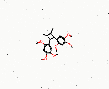 COc1cc(OC)c(C2C(C)C(C)C2c2cc(OC)c(OC)cc2OC)cc1OC